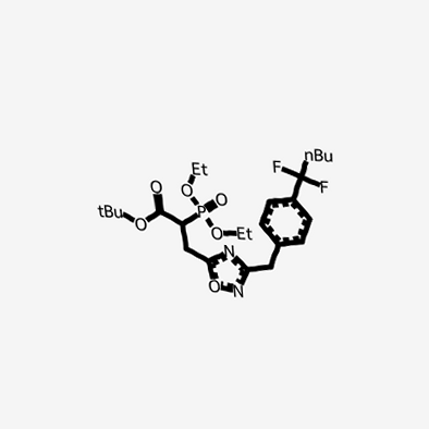 CCCCC(F)(F)c1ccc(Cc2noc(CC(C(=O)OC(C)(C)C)P(=O)(OCC)OCC)n2)cc1